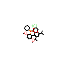 COc1ccc(OC)c(P(C2CCCCC2)C2CCCCC2)c1-c1c(C(C)C)cc(C(C)C)cc1C(C)C.Cl